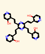 Oc1ccncc1C=Cc1nc(C=Cc2cnccc2O)c(C=Cc2cnccc2O)nc1C=Cc1cnccc1O